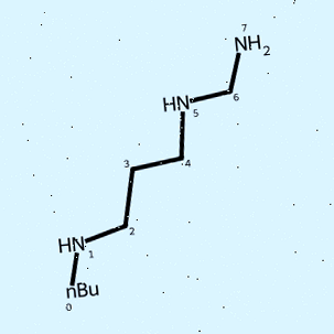 [CH2]CCCNCCCNCN